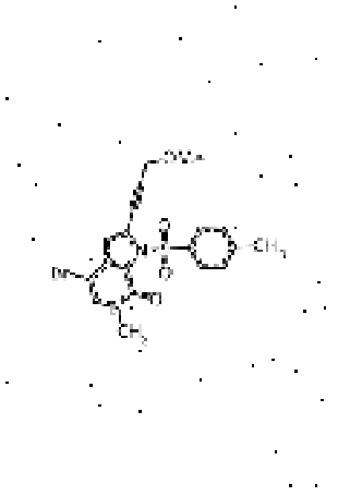 COCC#Cc1cc2c(Br)cn(C)c(=O)c2n1S(=O)(=O)c1ccc(C)cc1